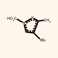 Cc1nn(C(=O)O)cc1C(C)(C)C